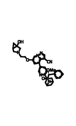 CO[C@@H](C(=O)N1C2CC1CN(c1ccc(-c3cc(OCCN4CC5CC5(O)C4)cn4ncc(C#N)c34)cn1)C2)c1ccccc1